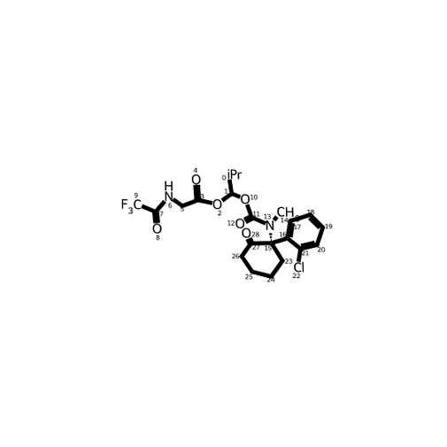 CC(C)C(OC(=O)CNC(=O)C(F)(F)F)OC(=O)N(C)[C@]1(c2ccccc2Cl)CCCCC1=O